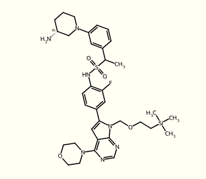 CC(c1cccc(N2CCC[C@@H](N)C2)c1)S(=O)(=O)Nc1ccc(-c2cc3c(N4CCOCC4)ncnc3n2COCC[Si](C)(C)C)cc1F